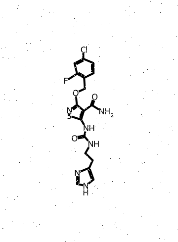 NC(=O)c1c(OCc2ccc(Cl)cc2F)nsc1NC(=O)NCCc1c[nH]cn1